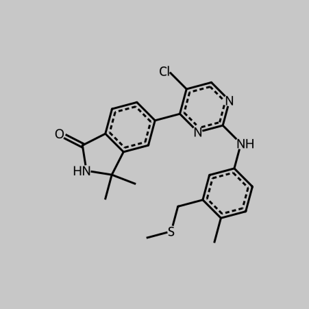 CSCc1cc(Nc2ncc(Cl)c(-c3ccc4c(c3)C(C)(C)NC4=O)n2)ccc1C